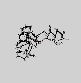 Cc1nc2ccccc2n1C1C[C@H]2CC[C@@H](C1)N2CCC1(c2cccc(F)c2)CCN(C(=O)C2(NC(=O)O)CCCC2)CC1